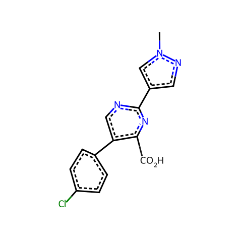 Cn1cc(-c2ncc(-c3ccc(Cl)cc3)c(C(=O)O)n2)cn1